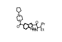 CCC(C(=N)C(=O)c1cc2cc(C(=O)N3CCN(C4CCCC4)CC3)ccc2[nH]1)C(C)C